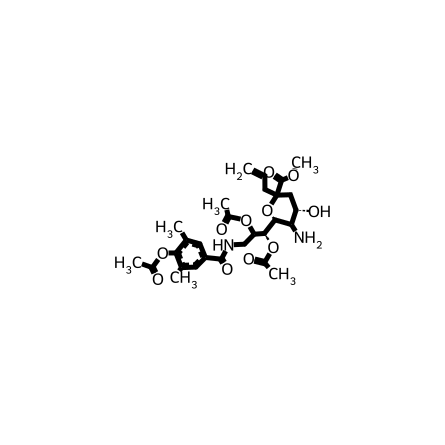 C=CCC1(C(=O)OC)C[C@H](O)C(N)[C@H]([C@H](OC(C)=O)C(CNC(=O)c2cc(C)c(OC(C)=O)c(C)c2)OC(C)=O)O1